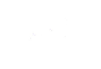 CCNc1ccccc1CC(=O)N1CC2C(=O)CCC(c3ccccc3)(c3ccccc3)C2C1